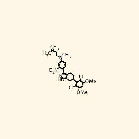 COc1cc(OC)c(Cl)c(C2CCc3c(-c4ccc(N(C)CCN(C)C)cc4[N+](=O)[O-])n[nH]c3C2)c1Cl